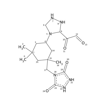 CC1(C)CC(N2CNNC2C(=O)C=O)CC(C)(Cn2c(=O)[nH][nH]c2=O)C1